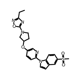 CCc1noc(N2CCC(Oc3ccc(-n4ccc5cc(S(C)(=O)=O)ccc54)nc3)C2)n1